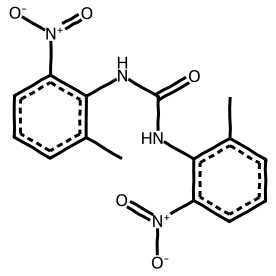 Cc1cccc([N+](=O)[O-])c1NC(=O)Nc1c(C)cccc1[N+](=O)[O-]